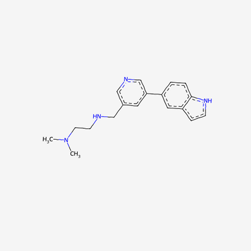 CN(C)CCNCc1cncc(-c2ccc3[nH]ccc3c2)c1